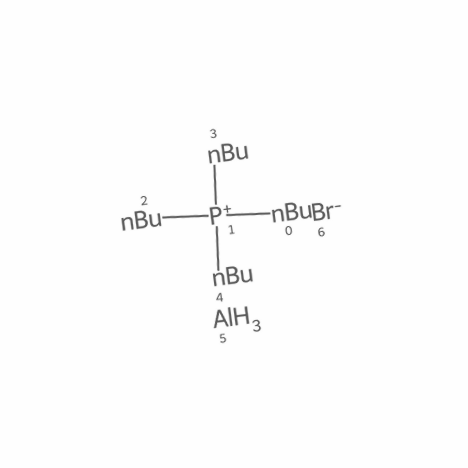 CCCC[P+](CCCC)(CCCC)CCCC.[AlH3].[Br-]